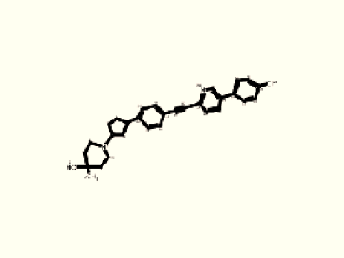 CC1(O)CCN(C2CCC(c3ccc(C#Cc4ccc(-c5ccc(Cl)cc5)cn4)cc3)C2)CC1